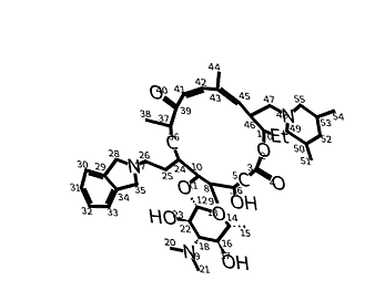 CCC1OC(=O)CC(O)C(C)C(O[C@@H]2O[C@H](C)[C@@H](O)[C@H](N(C)C)[C@H]2O)C(CCN2Cc3ccccc3C2)CC(C)C(=O)C=CC(C)=CC1CN1CC(C)CC(C)C1